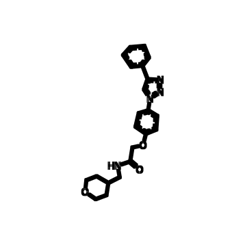 O=C(COc1ccc(-n2cc(-c3ccccc3)nn2)cc1)NCC1CCOCC1